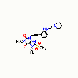 Cn1c(=O)c2c(nc(S(C)(=O)=O)n2C)n(CC#Cc2cccc(NCCN3CCCCC3)c2)c1=O